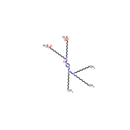 CCCCCCCCCCCCN(CCCCCCCCCCCC)CCN(CCCCCCCCCCCC)CCN1CCN(C(=O)CN(CCCCCCCCCCCC(=O)OC)CCCCCCCCCCCC(=O)OC)CC1